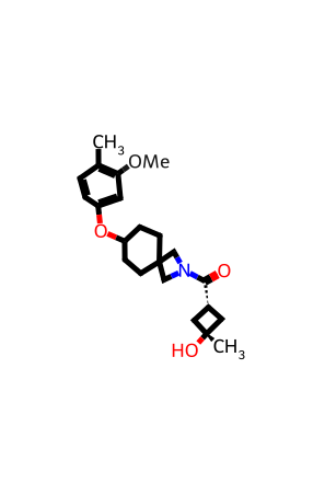 COc1cc(OC2CCC3(CC2)CN(C(=O)[C@H]2C[C@@](C)(O)C2)C3)ccc1C